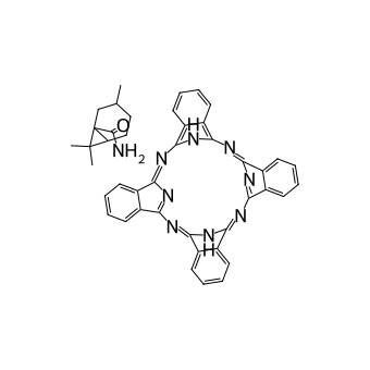 CC1CCC2C(C)(C)C2(C(N)=O)C1.c1ccc2c(c1)-c1nc-2nc2[nH]c(nc3nc(nc4[nH]c(n1)c1ccccc41)-c1ccccc1-3)c1ccccc21